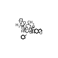 CC(C)CN(C[C@@H](O)[C@H](Cc1ccccc1)NC(=O)O[C@H](C)CO[C@@H]1CCCO1)S(=O)(=O)c1ccc2occc2c1